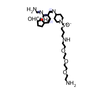 N/C=N/C(NC=O)=C(/C=C\C1CCCC1)\C=N/C1CCN([S+]([O-])CCCNCCOCCOCCOCCN)CC1